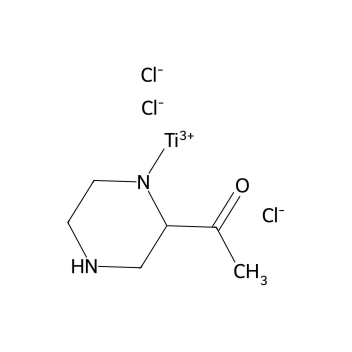 CC(=O)C1CNCC[N]1[Ti+3].[Cl-].[Cl-].[Cl-]